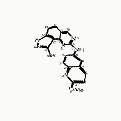 COc1ccc2cc(Nc3ncc4ccc5onc(C(C)C)c5c4n3)ccc2n1